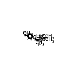 [2H][C@@](C)(COC1CCC(CO)CC1)NC(=O)OC(C)(C)C